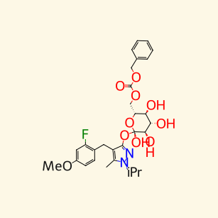 COc1ccc(Cc2c(O[C@]3(O)O[C@H](COC(=O)OCc4ccccc4)[C@@H](O)[C@H](O)[C@H]3O)nn(C(C)C)c2C)c(F)c1